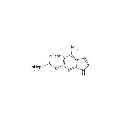 CCCCCCCC(CCCCCCC)Sc1nc(N)c2nc[nH]c2n1